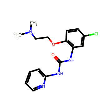 CN(C)CCOc1ccc(Cl)cc1NC(=O)Nc1ccccn1